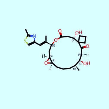 CC(=Cc1csc(C)n1)[C@@H]1C[C@@H]2O[C@]2(C)CCC[C@H](C)[C@H](O)[C@@H](C)C(=O)C2(CCC2)[C@@H](O)CC(=O)O1